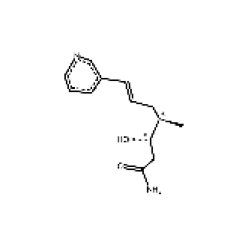 C[C@H](CC=Cc1cccnc1)[C@@H](O)CC(N)=O